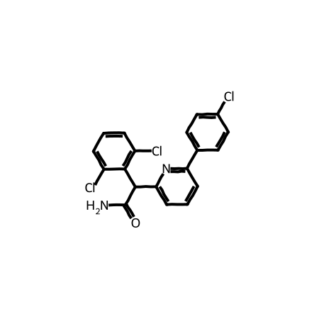 NC(=O)C(c1cccc(-c2ccc(Cl)cc2)n1)c1c(Cl)cccc1Cl